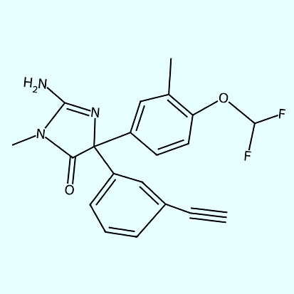 C#Cc1cccc(C2(c3ccc(OC(F)F)c(C)c3)N=C(N)N(C)C2=O)c1